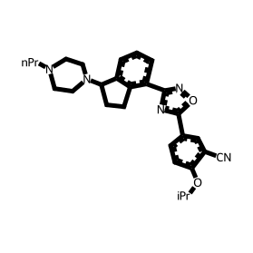 CCCN1CCN(C2CCc3c(-c4noc(-c5ccc(OC(C)C)c(C#N)c5)n4)cccc32)CC1